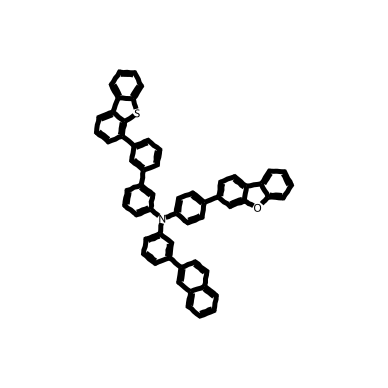 c1cc(-c2cccc(N(c3ccc(-c4ccc5c(c4)oc4ccccc45)cc3)c3cccc(-c4ccc5ccccc5c4)c3)c2)cc(-c2cccc3c2sc2ccccc23)c1